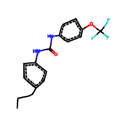 CCCc1ccc(NC(=O)Nc2ccc(OC(F)(F)F)cc2)cc1